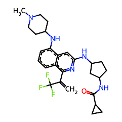 C=C(c1nc(NC2CCC(NC(=O)C3CC3)C2)cc2c(NC3CCN(C)CC3)cccc12)C(F)(F)F